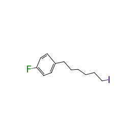 Fc1ccc(CCCCCCI)cc1